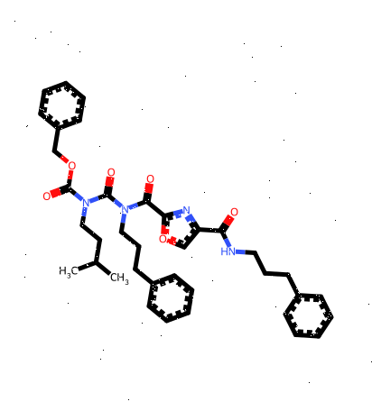 CC(C)CCN(C(=O)OCc1ccccc1)C(=O)N(CCCc1ccccc1)C(=O)c1nc(C(=O)NCCCc2ccccc2)co1